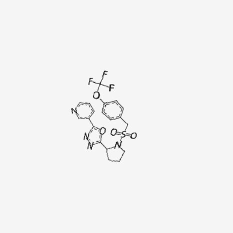 O=S(=O)(Cc1ccc(OC(F)(F)F)cc1)N1CCCC1c1nnc(-c2cccnc2)o1